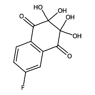 O=C1c2ccc(F)cc2C(=O)C(O)(O)C1(O)O